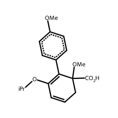 COc1ccc(C2=C(OC(C)C)C=CCC2(OC)C(=O)O)cc1